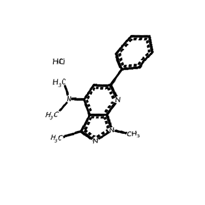 Cc1nn(C)c2nc(-c3ccccc3)cc(N(C)C)c12.Cl